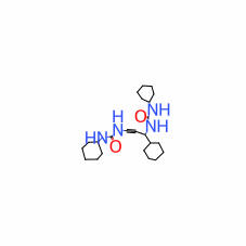 O=C(NC#CC(NC(=O)NC1CCCCC1)C1CCCCC1)NC1CCCCC1